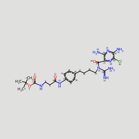 CC(C)(C)OC(=O)NCCC(=O)Nc1ccc(CCCCN(C(=N)N)C(=O)c2nc(Cl)c(N)nc2N)cc1